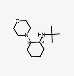 CC(C)(C)N[C@H]1CCCC[C@@H]1N1CCOCC1